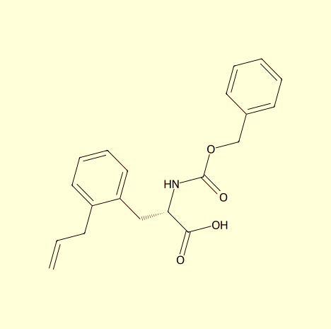 C=CCc1ccccc1C[C@H](NC(=O)OCc1ccccc1)C(=O)O